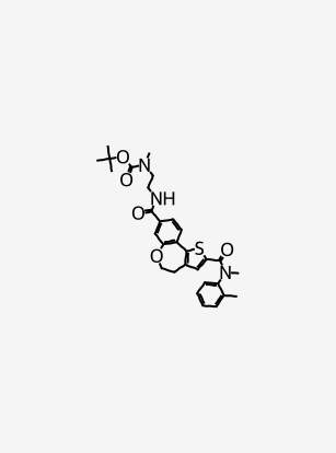 Cc1ccccc1N(C)C(=O)c1cc2c(s1)-c1ccc(C(=O)NCCN(C)C(=O)OC(C)(C)C)cc1OCC2